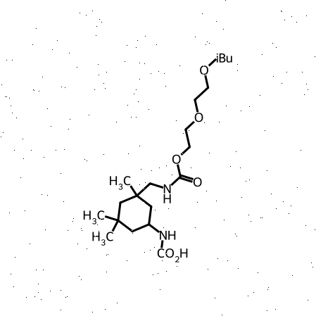 CCC(C)OCCOCCOC(=O)NCC1(C)CC(NC(=O)O)CC(C)(C)C1